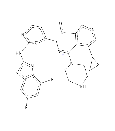 C=Nc1cncc(C2CC2)c1/C(=N\Cc1ccnc(Nc2nc3c(F)cc(F)cn3n2)c1)N1CCNCC1